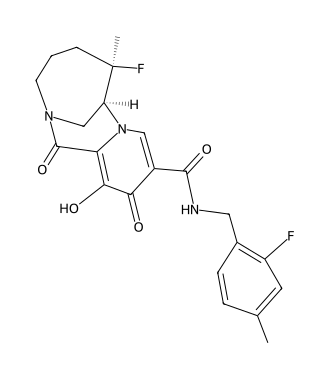 Cc1ccc(CNC(=O)c2cn3c(c(O)c2=O)C(=O)N2CCC[C@@](C)(F)[C@@H]3C2)c(F)c1